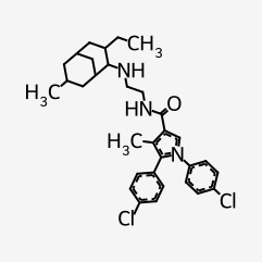 CCC1CC2CC(C)CC(C2)C1NCCNC(=O)c1cn(-c2ccc(Cl)cc2)c(-c2ccc(Cl)cc2)c1C